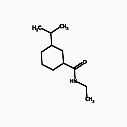 CCNC(=O)C1CCCC(C(C)C)C1